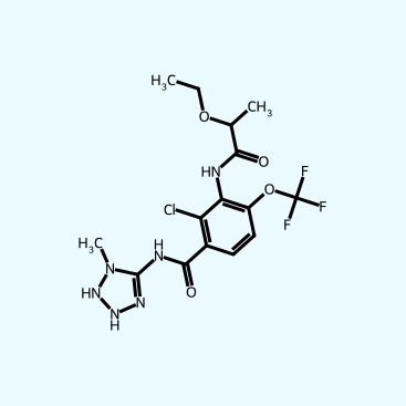 CCOC(C)C(=O)Nc1c(OC(F)(F)F)ccc(C(=O)NC2=NNNN2C)c1Cl